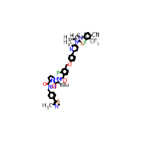 Cc1ncsc1-c1ccc(CNC(=O)C2CCCN2C(=O)C(NC(=O)c2ccc(COc3ccc(-c4ccc(N(C(=S)N(C)c5ccc(C#N)c(C(F)(F)F)c5F)C(C)(C)C=O)cn4)cc3)cc2F)C(C)(C)C)cc1